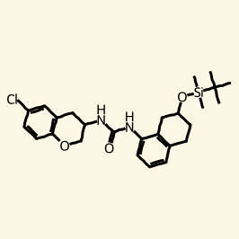 CC(C)(C)[Si](C)(C)OC1CCc2cccc(NC(=O)NC3COc4ccc(Cl)cc4C3)c2C1